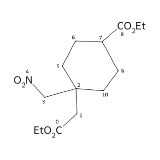 CCOC(=O)CC1(C[N+](=O)[O-])CCC(C(=O)OCC)CC1